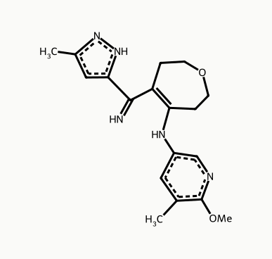 COc1ncc(NC2=C(C(=N)c3cc(C)n[nH]3)CCOCC2)cc1C